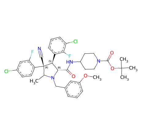 COc1cccc(CN2C(C)[C@](C#N)(c3ccc(Cl)cc3F)[C@@H](c3cccc(Cl)c3F)[C@@H]2C(=O)NC2CCN(C(=O)OC(C)(C)C)CC2)c1